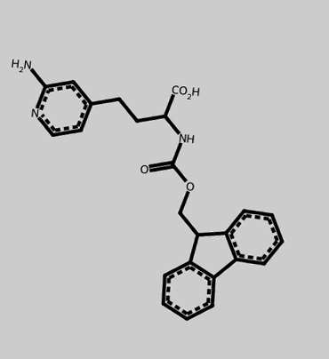 Nc1cc(CCC(NC(=O)OCC2c3ccccc3-c3ccccc32)C(=O)O)ccn1